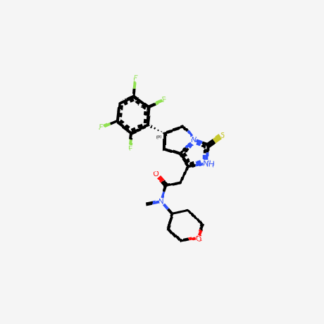 CN(C(=O)Cc1[nH]c(=S)n2c1C[C@H](c1c(F)c(F)cc(F)c1F)C2)C1CCOCC1